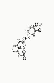 Cc1cc(=O)oc2cc(OCc3ccc4c(c3)OCO4)ccc12